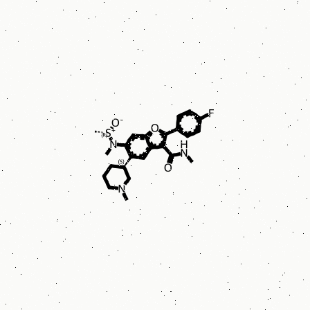 CNC(=O)c1c(-c2ccc(F)cc2)oc2cc(N(C)[S@+](C)[O-])c([C@@H]3CCCN(C)C3)cc12